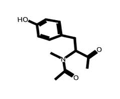 CC(=O)C(Cc1ccc(O)cc1)N(C)C(C)=O